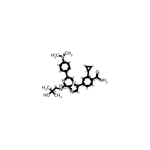 CN(C)c1ccc(-c2cn3c(-c4ccc(C(N)=O)c(C5CC5)c4)cnc3c(NCC(C)(C)O)n2)cc1